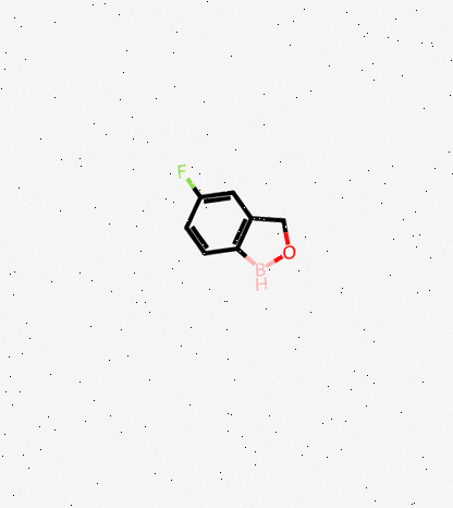 Fc1ccc2c(c1)COB2